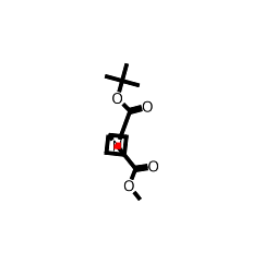 COC(=O)C12CC(C1)N(C(=O)OC(C)(C)C)C2